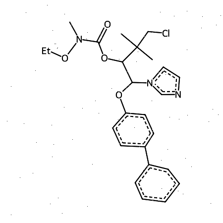 CCON(C)C(=O)OC(C(Oc1ccc(-c2ccccc2)cc1)n1ccnc1)C(C)(C)CCl